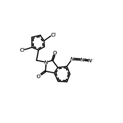 [N-]=[N+]=Nc1cccc2c1C(=O)N(Cc1cc(Cl)ccc1Cl)C2=O